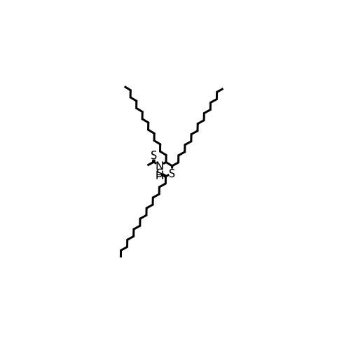 CCCCCCCCCCCCCCCC(=S)SC(CCCCCCCCCCCCCCC)C(CCCCCCCCCCCCCC)NC(C)=S